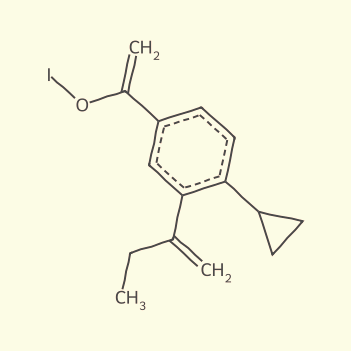 C=C(OI)c1ccc(C2CC2)c(C(=C)CC)c1